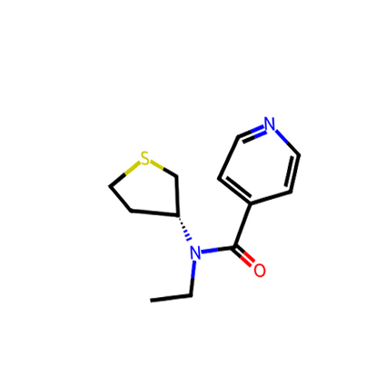 CCN(C(=O)c1ccncc1)[C@@H]1CCSC1